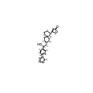 O=C1C=C(N2CCOC3(CCN(C[C@@H](O)c4ccc(-n5cnnn5)nc4)CC3)C2)CO1